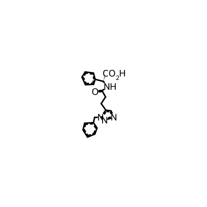 O=C(CCc1cnnn1Cc1ccccc1)N[C@@H](C(=O)O)c1ccccc1